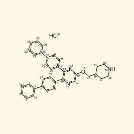 Cl.c1cncc(-c2ccc(-c3ncc(OCC4CCNCC4)nc3-c3ccc(-c4cccnc4)cc3)cc2)c1